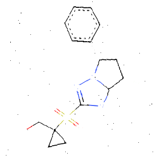 O=S(=O)(C1=NN2C(N1)[C@@H](F)C[C@H]2c1ccccc1)C1(CO)CC1